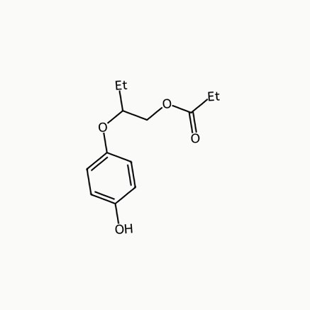 CCC(=O)OCC(CC)Oc1ccc(O)cc1